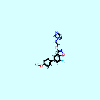 Fc1cc(-c2ccc(OC(F)(F)F)cc2)cc2c(OCCn3cncn3)noc12